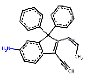 C#CC1=C(/C=C\C)C(c2ccccc2)(c2ccccc2)c2cc(N)ccc21